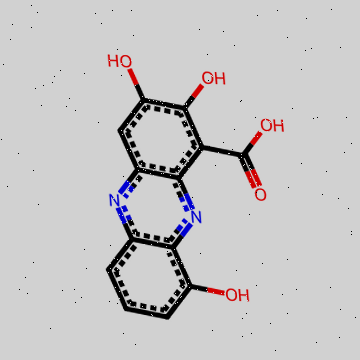 O=C(O)c1c(O)c(O)cc2nc3cccc(O)c3nc12